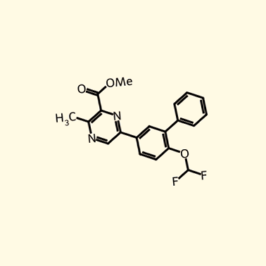 COC(=O)c1nc(-c2ccc(OC(F)F)c(-c3ccccc3)c2)cnc1C